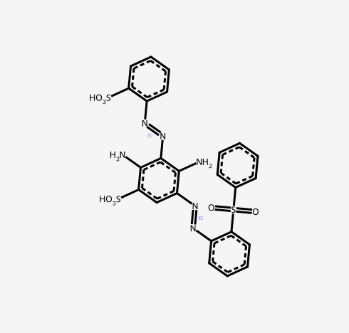 Nc1c(/N=N/c2ccccc2S(=O)(=O)c2ccccc2)cc(S(=O)(=O)O)c(N)c1/N=N/c1ccccc1S(=O)(=O)O